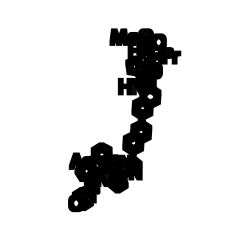 COC(=O)NC(C(=O)N1CCCC1c1nc2c([nH]1)-c1ccc(-c3ccc4cc(-c5cnc(C6CCCN6C(=O)C(NC(=O)CN6CCOCC6)(c6ccccc6)c6ccccc6C(C)=O)[nH]5)ccc4c3)cc1CC2)C(C)C